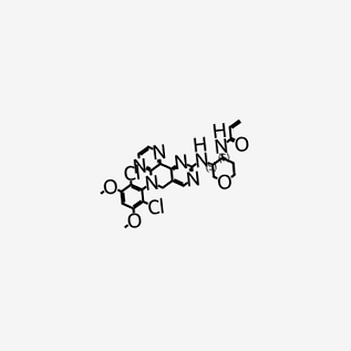 C=CC(=O)N[C@H]1CCOC[C@H]1Nc1ncc2c(n1)-c1nccnc1N(c1c(Cl)c(OC)cc(OC)c1Cl)C2